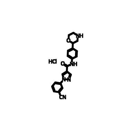 Cl.N#Cc1cccc(-n2cc(C(=O)Nc3ccc(C4CNCCO4)cc3)cn2)c1